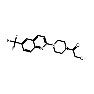 O=C(CO)N1CCN(c2ccc3cc(C(F)(F)F)ccc3n2)CC1